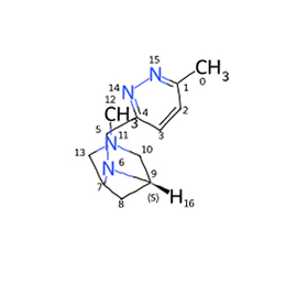 Cc1ccc(CN2C3C[C@H]2CN(C)C3)nn1